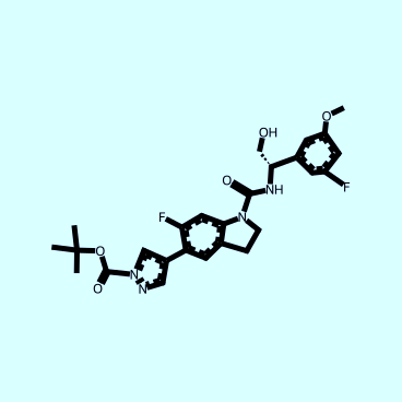 COc1cc(F)cc([C@@H](CO)NC(=O)N2CCc3cc(-c4cnn(C(=O)OC(C)(C)C)c4)c(F)cc32)c1